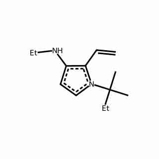 C=Cc1c(NCC)ccn1C(C)(C)CC